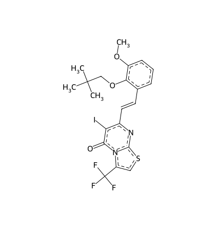 COc1cccc(C=Cc2nc3scc(C(F)(F)F)n3c(=O)c2I)c1OCC(C)(C)C